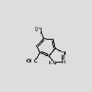 O=Cc1cc(N=O)cc2nn[nH]c12